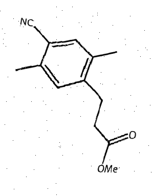 COC(=O)CCc1cc(C)c(C#N)cc1C